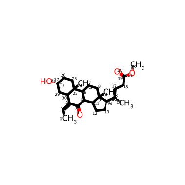 CC=C1C(=O)C2C(CCC3(C)C2CC[C@@H]3[C@H](C)CCC(=O)OC)C2(C)CC[C@@H](O)CC12